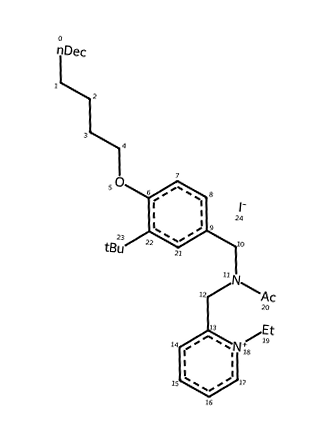 CCCCCCCCCCCCCCOc1ccc(CN(Cc2cccc[n+]2CC)C(C)=O)cc1C(C)(C)C.[I-]